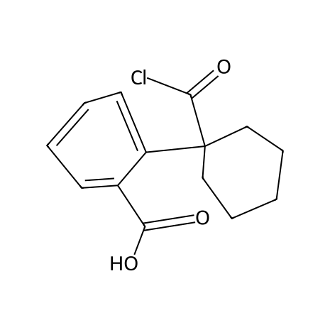 O=C(O)c1ccccc1C1(C(=O)Cl)CCCCC1